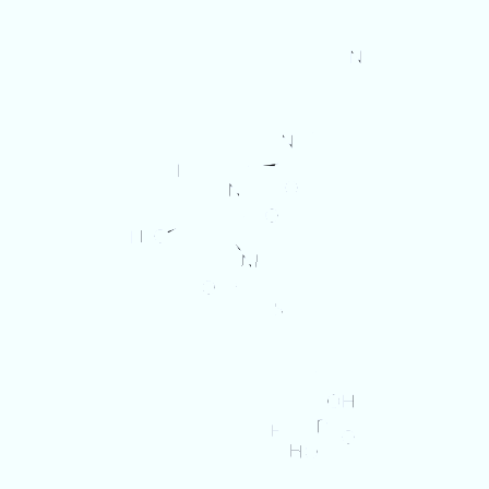 C[C@H]1C[C@H]2CC[C@@H](C(=O)N3CC(c4cnccc4F)C3)N2C(=O)[C@@H](NC(=O)c2cc3cc(C(F)P(=O)(O)O)ccc3s2)C1